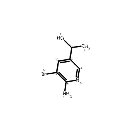 CC(O)c1cnc(N)c(Br)c1